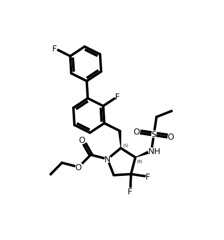 CCOC(=O)N1CC(F)(F)[C@H](NS(=O)(=O)CC)[C@@H]1Cc1cccc(-c2cccc(F)c2)c1F